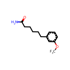 NC(=O)CCCCCc1cccc(OC(F)(F)F)c1